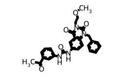 COCCn1c(=O)c2cc(NC(=O)Nc3cccc(C(C)=O)c3)ccc2n(Cc2ccccc2)c1=O